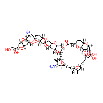 C=C1C[C@@H]2CC[C@]34CC(O)(O)C(O3)[C@@H]3O[C@H]5CC[C@H](CC(=O)O[C@@H]6CC7OC8C[C@]9(C[C@@H]%10O[C@@]%11(CC[C@@H]%10O9)C[C@H](N)[C@@H]9O[C@@H]%10C[C@@H]([C@@H](O)CO)O[C@@H]%10C[C@@H]9O%11)O[C@@H]8C[C@@H]7O[C@H]6C[C@H]6O[C@@H](CC[C@@H]1O2)C[C@@H](N)C6=C)O[C@@H]5[C@H](O4)[C@@H]3I